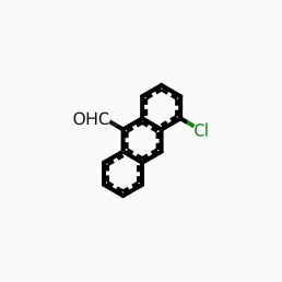 O=Cc1c2ccccc2cc2c(Cl)cccc12